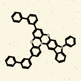 c1ccc(-c2cccc(-c3ccc4c(c3)Oc3cc(-c5cccc(-c6ccccc6)c5)cc5c3N4c3cc4c6ccccc6n(-c6ccccc6)c4cc3O5)c2)cc1